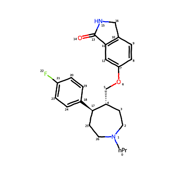 CCCN1CC[C@@H](COc2ccc3c(c2)C(=O)NC3)[C@H](c2ccc(F)cc2)CC1